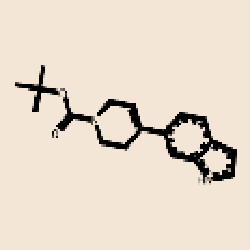 CC(C)(C)OC(=O)N1CC=C(c2ccc3cc[nH]c3c2)CC1